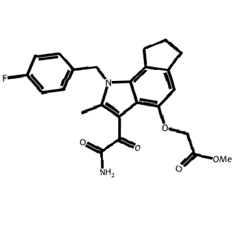 COC(=O)COc1cc2c(c3c1c(C(=O)C(N)=O)c(C)n3Cc1ccc(F)cc1)CCC2